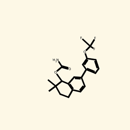 CC1(C)CCc2ccc(-c3cccc(OC(F)(F)F)c3)cc2C1OC(N)=O